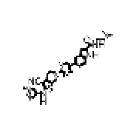 CN(C)CCNC(=O)c1cc2cc(-c3cnc(N4CCc5c(sc(Nc6cnn(C)c6)c5C#N)C4)nc3)ccc2[nH]1